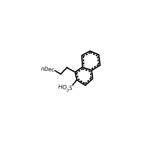 CCCCCCCCCCCCc1c(S(=O)(=O)O)ccc2ccccc12